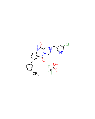 O=C(O)C(F)(F)F.O=C1Nc2ccc(-c3cccc(C(F)(F)F)c3)cc2C(=O)N2CCN(Cc3cncc(Cl)c3)CC12